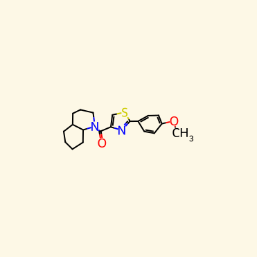 COc1ccc(-c2nc(C(=O)N3CCCC4CCCCC43)cs2)cc1